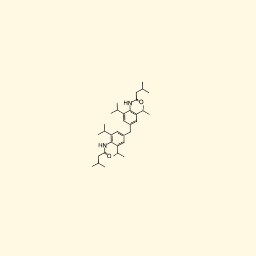 CC(C)CC(=O)Nc1c(C(C)C)cc(Cc2cc(C(C)C)c(NC(=O)CC(C)C)c(C(C)C)c2)cc1C(C)C